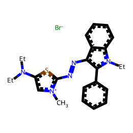 CCN(CC)c1c[n+](C)c(N=Nc2c(-c3ccccc3)n(CC)c3ccccc23)s1.[Br-]